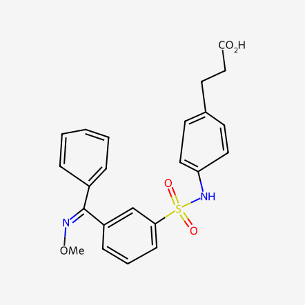 CO/N=C(/c1ccccc1)c1cccc(S(=O)(=O)Nc2ccc(CCC(=O)O)cc2)c1